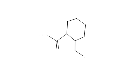 CNC(=O)C1CCCCC1CC(F)(F)F